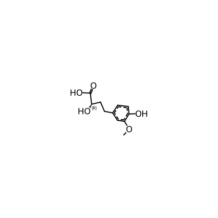 COc1cc(CC[C@@H](O)C(=O)O)ccc1O